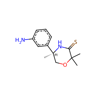 CC1(C)OC[C@@](C)(c2cccc(N)c2)NC1=S